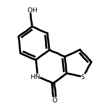 O=c1[nH]c2ccc(O)cc2c2ccsc12